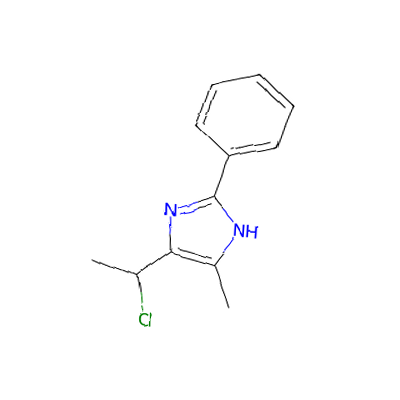 Cc1[nH]c(-c2ccccc2)nc1C(C)Cl